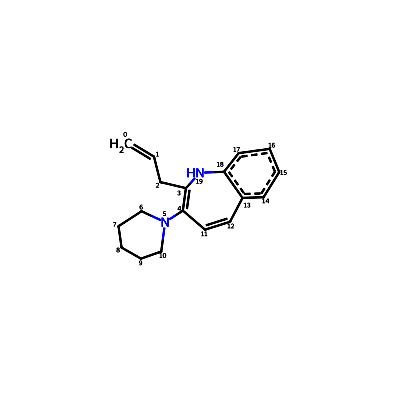 C=CCC1=C(N2CCCCC2)C=Cc2ccccc2N1